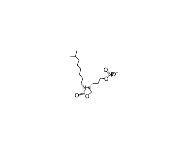 CC(C)CCCCCCN1C(=O)OC[C@H]1CCCO[N+](=O)[O-]